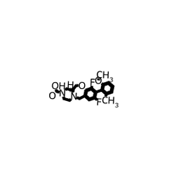 COc1cccc(C)c1-c1c(F)cc2c(c1F)OC[C@H]1CN(C(=O)O)CCN1C2